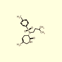 CC1=CC[C@H](N(CCC(C)C)S(=O)(=O)c2ccc(C)cc2)C(=O)NC1